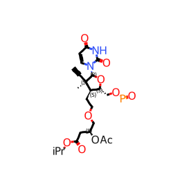 C#C[C@]1(C)[C@H](CCOC[C@H](CC(=O)OC(C)C)OC(C)=O)[C@@H](COP=O)O[C@H]1n1ccc(=O)[nH]c1=O